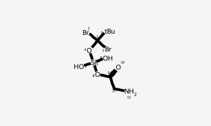 CC(C)(C)C(Br)(Br)O[Si](O)(O)OC(=O)CN